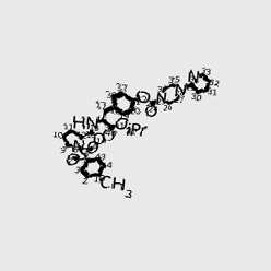 Cc1ccc(S(=O)(=O)N2CCC[C@H]2C(=O)N[C@@H](Cc2ccc(OC(=O)N3CCN(c4ccccn4)CC3)cc2)C(=O)OC(C)C)cc1